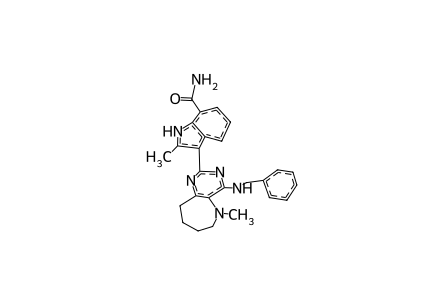 Cc1[nH]c2c(C(N)=O)cccc2c1-c1nc2c(c(NCc3ccccc3)n1)N(C)CCCC2